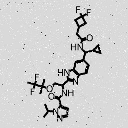 CC(C)n1nccc1C(=O)NC(COC(C)(C)C(C)(F)F)c1nc2ccc(C(NC(=O)CC3CC(F)(F)C3)C3CC3)cc2[nH]1